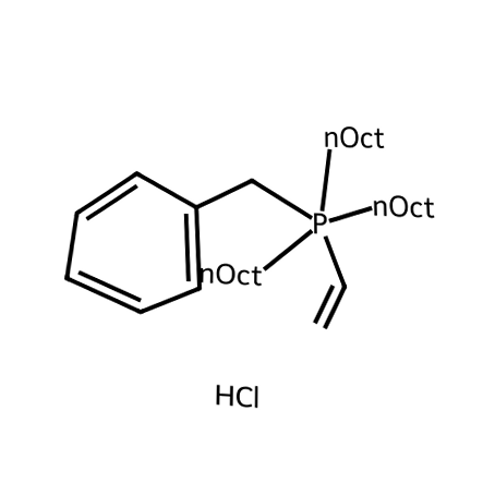 C=CP(CCCCCCCC)(CCCCCCCC)(CCCCCCCC)Cc1ccccc1.Cl